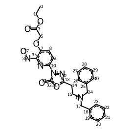 CCOC(=O)COc1ccc(-n2nc(CCN(Cc3ccccc3)Cc3ccccc3)oc2=O)nc1N=O